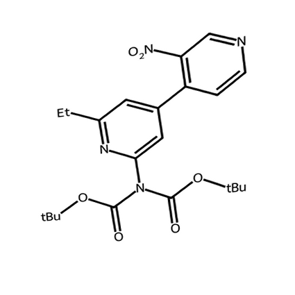 CCc1cc(-c2ccncc2[N+](=O)[O-])cc(N(C(=O)OC(C)(C)C)C(=O)OC(C)(C)C)n1